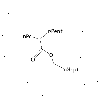 CCCCCCCCOC(=O)C(CCC)CCCCC